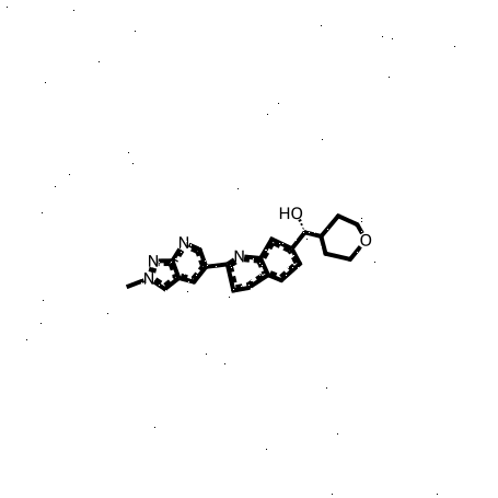 Cn1cc2cc(-c3ccc4ccc([C@H](O)C5CCOCC5)cc4n3)cnc2n1